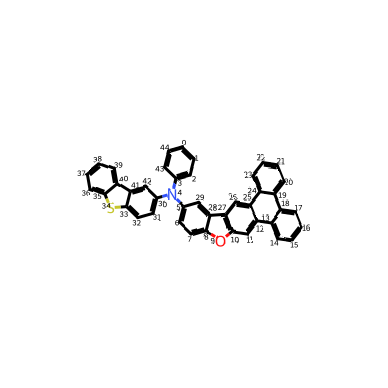 c1ccc(N(c2ccc3oc4cc5c6ccccc6c6ccccc6c5cc4c3c2)c2ccc3sc4ccccc4c3c2)cc1